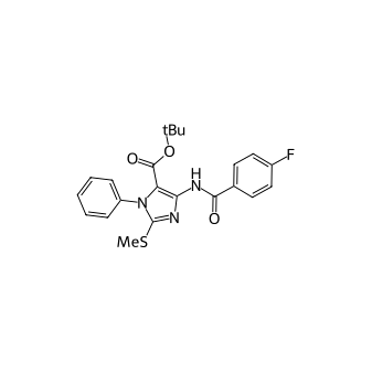 CSc1nc(NC(=O)c2ccc(F)cc2)c(C(=O)OC(C)(C)C)n1-c1ccccc1